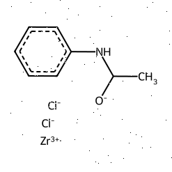 CC([O-])Nc1ccccc1.[Cl-].[Cl-].[Zr+3]